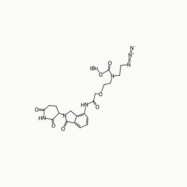 CC(C)(C)OC(=O)N(CCN=[N+]=[N-])CCOCC(=O)Nc1cccc2c1CN(C1CCC(=O)NC1=O)C2=O